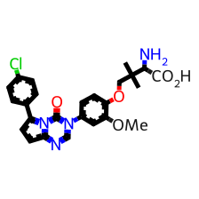 COc1cc(-n2cnc3ccc(-c4ccc(Cl)cc4)n3c2=O)ccc1OCC(C)(C)C(N)C(=O)O